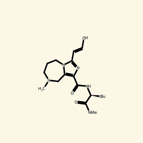 CNC(=O)[C@@H](NC(=O)c1nc(/C=C/O)n2c1CN(C)CCC2)C(C)(C)C